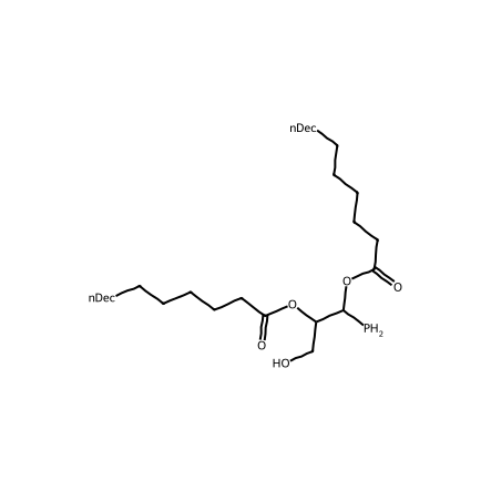 CCCCCCCCCCCCCCCC(=O)OC(P)C(CO)OC(=O)CCCCCCCCCCCCCCC